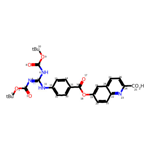 CC(C)(C)OC(=O)/N=C(/NC(=O)OC(C)(C)C)Nc1ccc(C(=O)Oc2ccc3nc(C(=O)O)ccc3c2)cc1